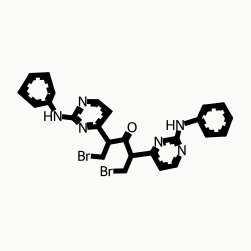 O=C(C(CBr)c1ccnc(Nc2ccccc2)n1)C(CBr)c1ccnc(Nc2ccccc2)n1